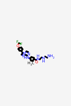 Cc1cc(Nc2nccn3c(-c4ccc(OC(F)F)cc4)cnc23)ccc1C(=O)NCCNCCN